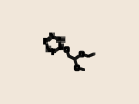 CCOC(CON1P=NP=NP1)OC